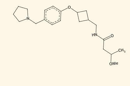 COC(C)CC(=O)NCC1CC(Oc2ccc(CN3CCCC3)cc2)C1